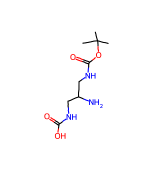 CC(C)(C)OC(=O)NCC(N)CNC(=O)O